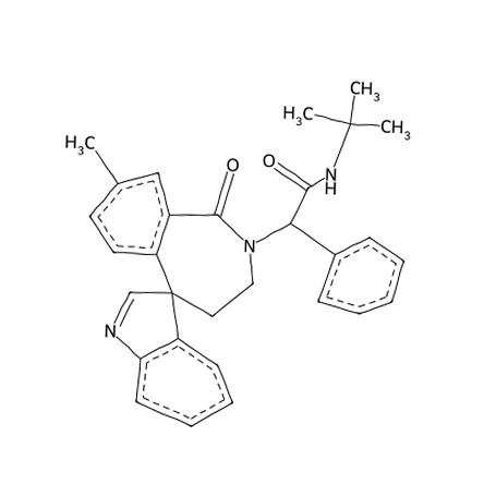 Cc1ccc2c(c1)C(=O)N(C(C(=O)NC(C)(C)C)c1ccccc1)CCC21C=Nc2ccccc21